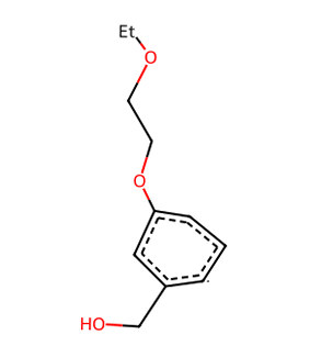 CCOCCOc1cc[c]c(CO)c1